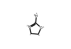 [3H]C1=NCCO1